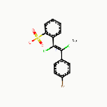 O=S(=O)([O-])c1ccccc1/C(Cl)=C(\Cl)c1ccc(Br)cc1.[Na+]